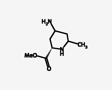 COC(=O)[C@@H]1CC(N)CC(C)N1